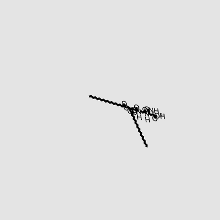 CCCCCCCCCCCCCCCCCC(=O)OCC(COC(=O)NCCC(=O)NC(CCC(=O)O)C(N)=O)OC(=O)CCCCCCCCCCCCCCCCC